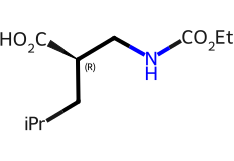 CCOC(=O)NC[C@@H](CC(C)C)C(=O)O